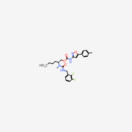 Cc1ccc(-c2cc(NC(=O)OC[C@H](CCCC(=O)O)N(C)C(=O)NCc3cccc(F)c3F)no2)cc1